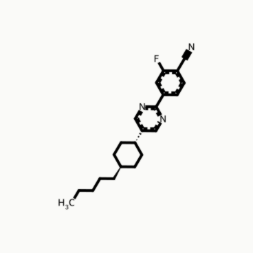 CCCCC[C@H]1CC[C@H](c2cnc(-c3ccc(C#N)c(F)c3)nc2)CC1